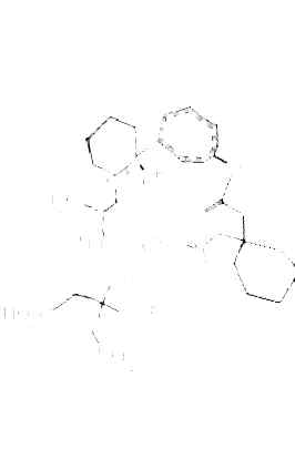 CCOC(=O)NCC1(CC(=O)Oc2cccc([C@@]3(O)CCCC[C@@H]3CN(C)C)c2)CCCCC1.O=C(O)CC(O)(CC(=O)O)C(=O)O